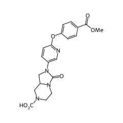 COC(=O)c1ccc(Oc2ccc(N3CC4CN(C(=O)O)CCN4C3=O)cn2)cc1